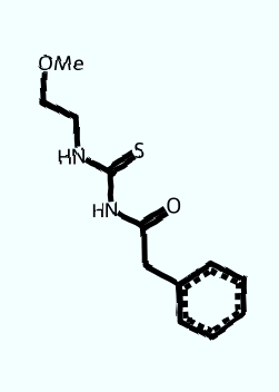 COCCNC(=S)NC(=O)Cc1ccccc1